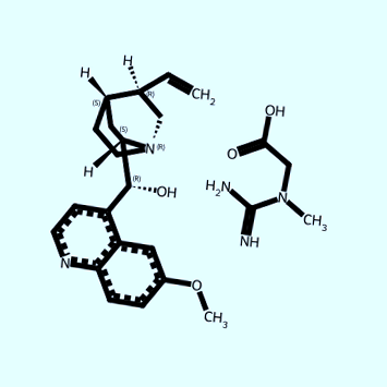 C=C[C@H]1C[N@]2CC[C@H]1C[C@H]2[C@H](O)c1ccnc2ccc(OC)cc12.CN(CC(=O)O)C(=N)N